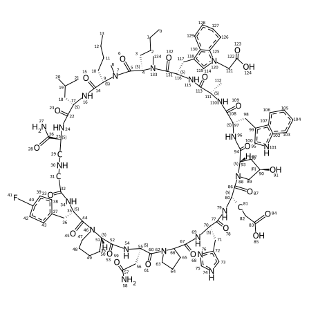 CCCC[C@H]1C(=O)N(C)[C@@H](CCCC)C(=O)N[C@@H](CC(C)C)C(=O)N[C@H](C(N)=O)CNCC(=O)N[C@@H](Cc2ccc(F)cc2)C(=O)N2CCCC[C@H]2C(=O)N[C@@H](CC(N)=O)C(=O)N2CCCC2C(=O)N[C@@H](Cc2c[nH]cn2)C(=O)N[C@@H](CCC(=O)O)C(=O)N2C[C@H](O)C[C@H]2C(=O)N[C@@H](Cc2c[nH]c3ccccc23)C(=O)N[C@@H](C)C(=O)N[C@@H](Cc2cn(CC(=O)O)c3ccccc23)C(=O)N1C